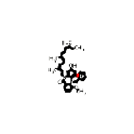 CC/C(C)=C\CC/C(C)=C/CC/C(C)=C/CN1C(=O)c2cccc(OC)c2N(Cc2ccccc2)c2c(C)cc(O)cc21